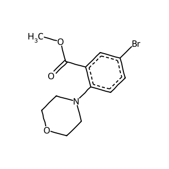 COC(=O)c1cc(Br)ccc1N1CCOCC1